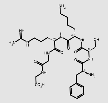 N=C(N)NCCC[C@H](NC(=O)[C@H](CCCCN)NC(=O)[C@H](CO)NC(=O)[C@@H](N)Cc1ccccc1)C(=O)NCC(=O)NCC(=O)O